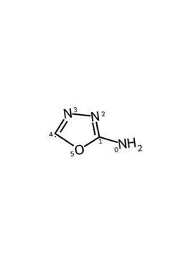 Nc1nn[c]o1